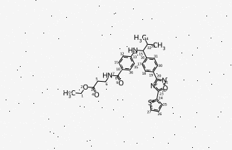 CCOC(=O)CCNC(=O)c1ccc(NC(c2ccc(-c3noc(-c4cccs4)n3)cc2)C(C)C)cc1